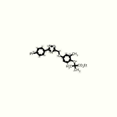 CCOC(=O)C(C)(C)Oc1ccc(OCc2nc(-c3ccc(C(C)C)cc3)no2)cc1C